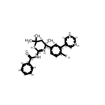 CC1(C)C[C@@](C)(c2ccc(F)c(-c3cncnc3)c2)N=C(NC(=O)c2ccccc2)S1